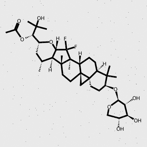 CC(=O)O[C@@H]([C@H]1C[C@@H](C)[C@H]2[C@H](O1)C(F)(F)[C@@]1(C)[C@@H]3CC[C@H]4C(C)(C)[C@@H](O[C@@H]5OC[C@@H](O)[C@H](O)[C@H]5O)CC[C@@]45C[C@@]35CC[C@]21C)C(C)(C)O